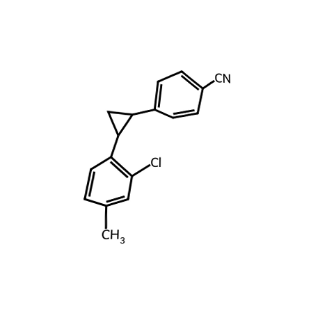 Cc1ccc(C2CC2c2ccc(C#N)cc2)c(Cl)c1